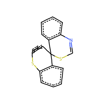 C1=Nc2ccccc2C2(S1)c1ccccc1Sc1ccccc12